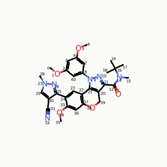 COc1cc(OC)cc(-n2nc(C(=O)N(C)C(C)(C)C)c3c2-c2cc(-c4nn(C)cc4C#N)c(OC)cc2OC3)c1